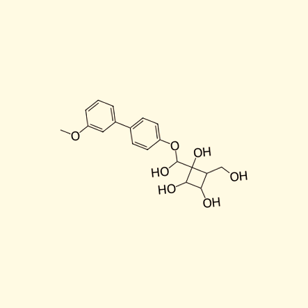 COc1cccc(-c2ccc(OC(O)C3(O)C(O)C(O)C3CO)cc2)c1